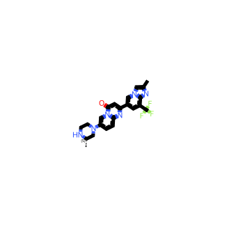 Cc1cn2cc(-c3cc(=O)n4cc(N5CCN[C@@H](C)C5)ccc4n3)cc(C(F)(F)F)c2n1